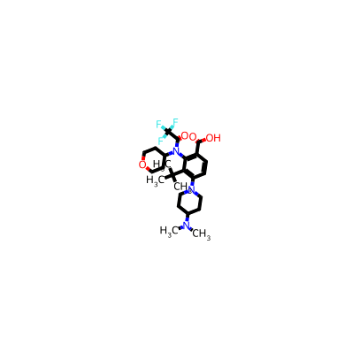 CN(C)C1CCN(c2ccc(C(=O)O)c(N(C(=O)C(F)(F)F)C3CCOCC3)c2C(C)(C)C)CC1